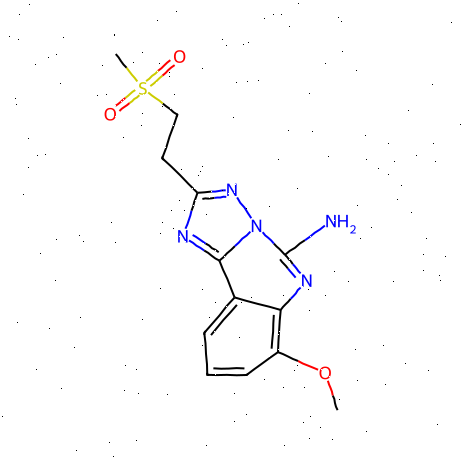 COc1cccc2c1nc(N)n1nc(CCS(C)(=O)=O)nc21